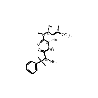 CC(=C[C@H](C(C)C)N(C)C(=O)[C@@H](NC(=O)[C@@H](N)C(C)(C)c1ccccc1)C(C)(C)C)C(=O)O